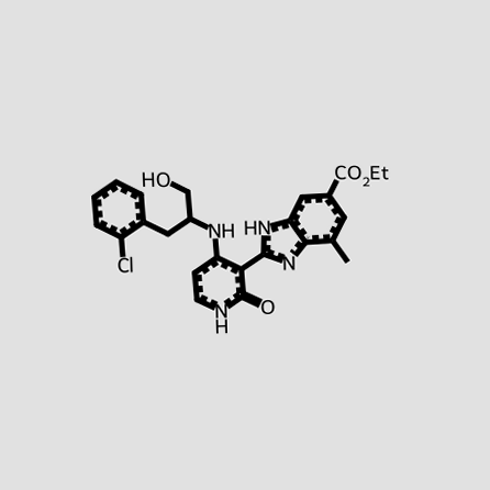 CCOC(=O)c1cc(C)c2nc(-c3c(NC(CO)Cc4ccccc4Cl)cc[nH]c3=O)[nH]c2c1